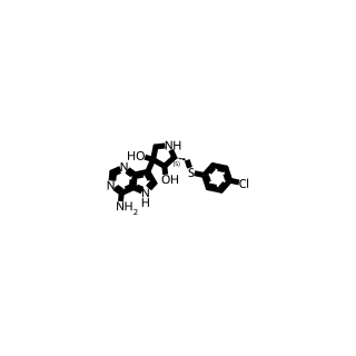 Nc1ncnc2c(C3(O)CN[C@H](CSc4ccc(Cl)cc4)C3O)c[nH]c12